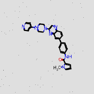 Cn1cccc1C(=O)Nc1ccc(-c2ccc3ncc(N4CCN(c5ccncc5)CC4)nc3c2)cc1